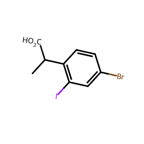 CC(C(=O)O)c1ccc(Br)cc1I